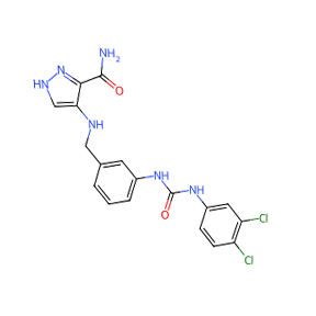 NC(=O)c1n[nH]cc1NCc1cccc(NC(=O)Nc2ccc(Cl)c(Cl)c2)c1